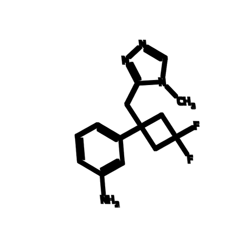 Cn1cnnc1CC1(c2cccc(N)c2)CC(F)(F)C1